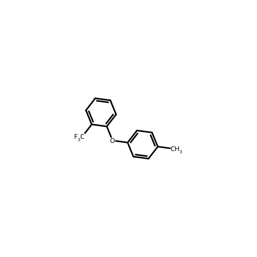 Cc1ccc(Oc2cc[c]cc2C(F)(F)F)cc1